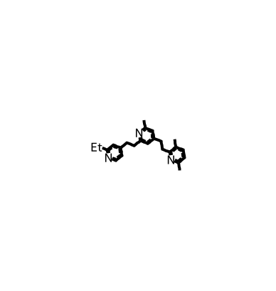 CCc1cc(CCc2cc(CCc3nc(C)ccc3C)cc(C)n2)ccn1